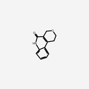 O=c1[nH]c2ccccc2c2c1COCC2